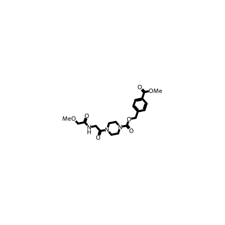 COCC(=O)NCC(=O)N1CCN(C(=O)OCc2ccc(C(=O)OC)cc2)CC1